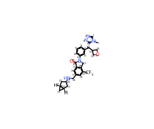 Cn1cnnc1[C@@H](c1cccc(N2Cc3c(cc(CNC4C[C@@H]5C[C@@H]5C4)cc3C(F)(F)F)C2=O)c1)C1COC1